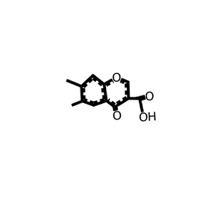 Cc1cc2occ(C(=O)O)c(=O)c2cc1C